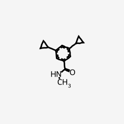 CNC(=O)c1cc(C2CC2)cc(C2CC2)c1